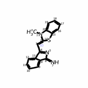 CN1/C(=C/C2=NC(=N)c3ccccc32)Sc2ccccc21